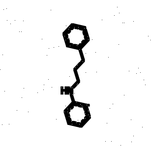 [c]1ccccc1NCCCc1ccccc1